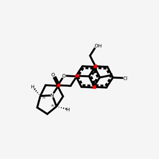 O=C(COc1ccc(Cl)cc1CO)N1[C@@H]2CC[C@H]1CC(Oc1ccc(F)cc1)C2